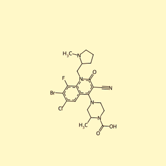 CC1CN(c2c(C#N)c(=O)n(CC3CCCN3C)c3c(F)c(Br)c(Cl)cc23)CCN1C(=O)O